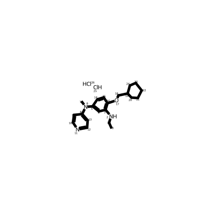 CCNc1cc(N(C)c2ccncc2)ccc1OCC1CCCCC1.Cl.Cl